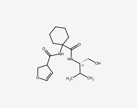 CC(C)[C@@H](CO)NC(=O)C1(NC(=O)C2C=COC2)CCCCC1